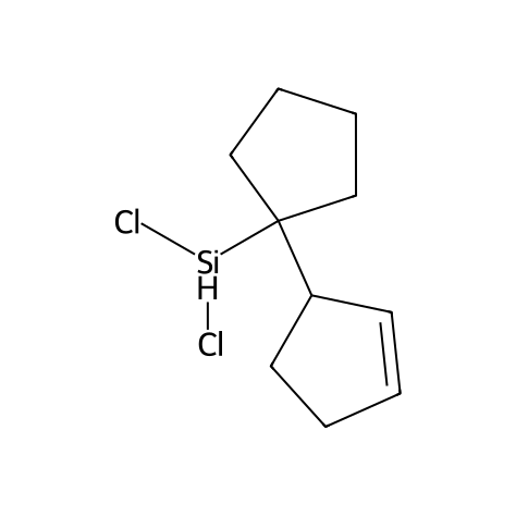 Cl[SiH](Cl)C1(C2C=CCC2)CCCC1